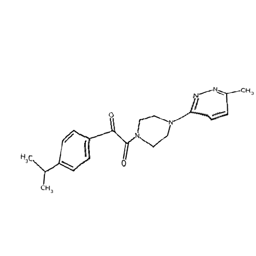 Cc1ccc(N2CCN(C(=O)C(=O)c3ccc(C(C)C)cc3)CC2)nn1